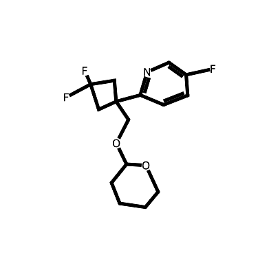 Fc1ccc(C2(COC3CCCCO3)CC(F)(F)C2)nc1